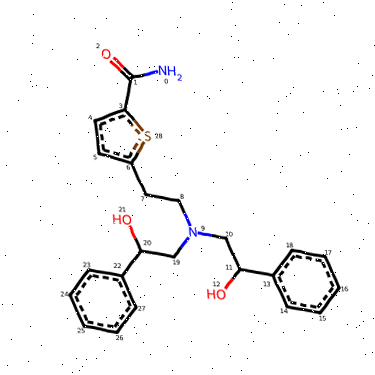 NC(=O)c1ccc(CCN(CC(O)c2ccccc2)CC(O)c2ccccc2)s1